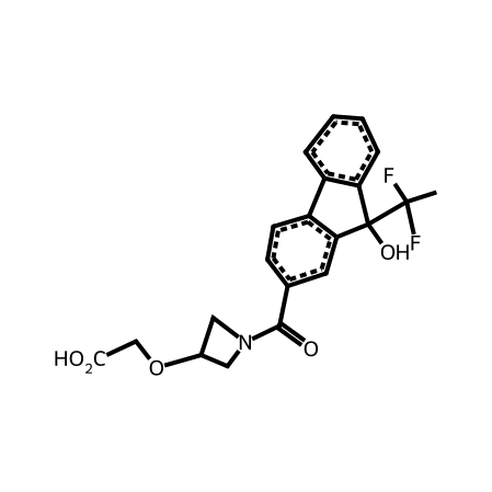 CC(F)(F)C1(O)c2ccccc2-c2ccc(C(=O)N3CC(OCC(=O)O)C3)cc21